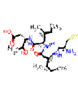 CC[C@H](C)[C@H](NC[C@@H](N)CS)C(=O)N[C@H](C(=O)N[C@@H](CC(=O)O)C(C)O)[C@@H](C)CC